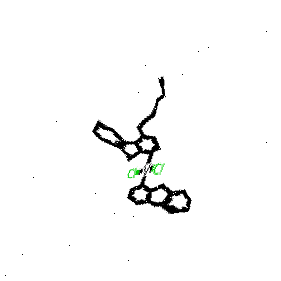 C#CCCCCc1cc[c]([V]([Cl])([Cl])[c]2cccc3c2Cc2ccccc2-3)c2c1-c1ccccc1C2